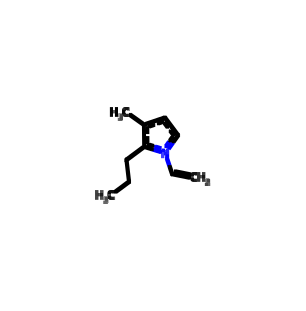 C=Cn1ccc(C)c1CCC